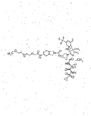 CC[C@@H]1C[C@]1(NC(=O)[C@@H]1C[C@@H](OC(=O)N2Cc3ccc(NC(=O)COCCOCCOC)cc3C2)CN1C(=O)[C@@H](Nc1cc(F)cc(C(F)(F)F)c1)C(C)(C)C)C(=O)NS(=O)(=O)C1CC1